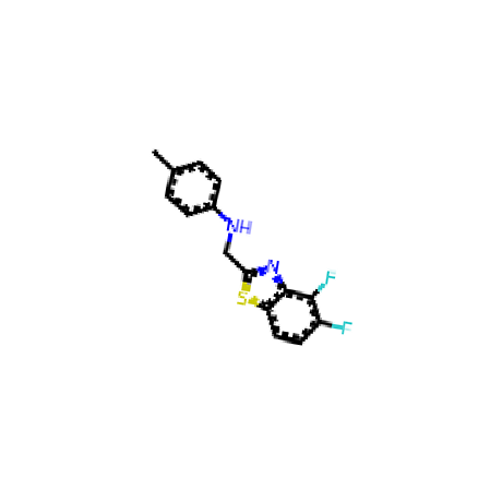 Cc1ccc(NCc2nc3c(F)c(F)ccc3s2)cc1